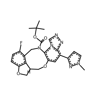 Cn1ccc(-c2cc3c(n4cnnc24)N(C(=O)OC(C)(C)C)Cc2c(F)ccc4c2[C@H](CO4)CO3)n1